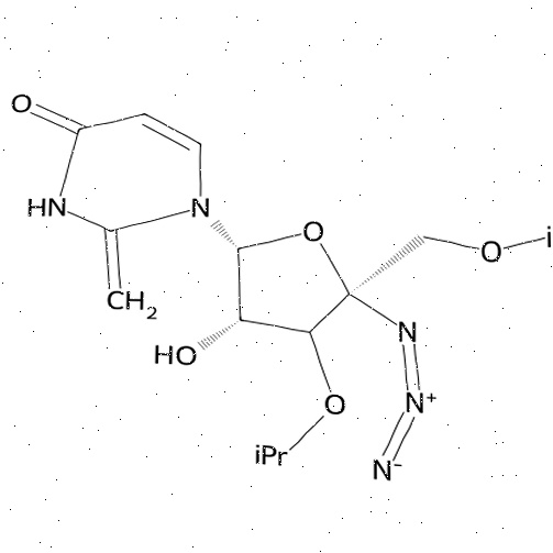 C=C1NC(=O)C=CN1[C@@H]1O[C@@](COC(C)C)(N=[N+]=[N-])C(OC(C)C)[C@@H]1O